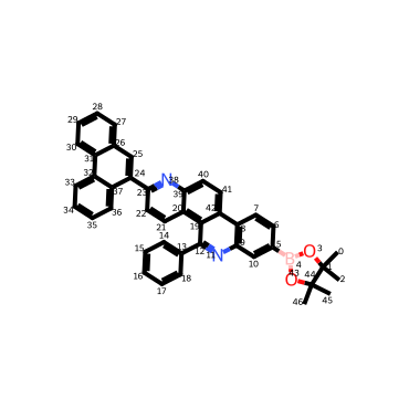 CC1(C)OB(c2ccc3c(c2)nc(-c2ccccc2)c2c4ccc(-c5cc6ccccc6c6ccccc56)nc4ccc32)OC1(C)C